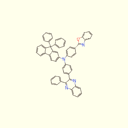 c1ccc(-c2nc3ccccc3nc2-c2ccc(N(c3ccc(-c4nc5ccccc5o4)cc3)c3ccc4c(c3)C(c3ccccc3)(c3ccccc3)c3ccccc3-4)cc2)cc1